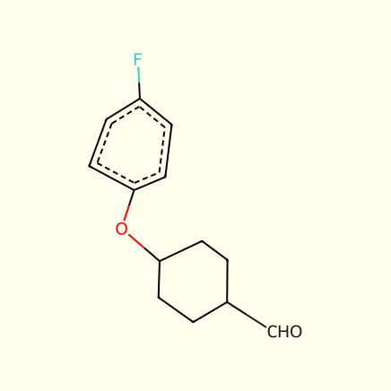 O=CC1CCC(Oc2ccc(F)cc2)CC1